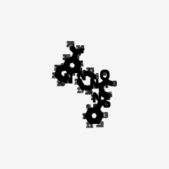 CC(=O)C(c1csc(-c2ccccc2)n1)N1CCCN(c2cc(C(C)C)cc3cccnc23)CC1